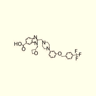 O=C(O)c1ccc2nc(CN3CCN(c4cccc(OCc5ccc(C(F)(F)F)cc5)c4)CC3)n(C[C@@H]3CCO3)c2c1